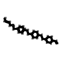 C=CC1CCC(CCC2CCC(CCc3ccc(COCC=CC)cc3)CC2)CC1